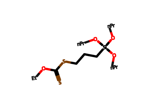 CCCO[Si](CCCSC(=S)OCC)(OCCC)OCCC